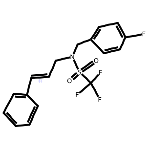 O=S(=O)(N(C/C=C/c1ccccc1)Cc1ccc(F)cc1)C(F)(F)F